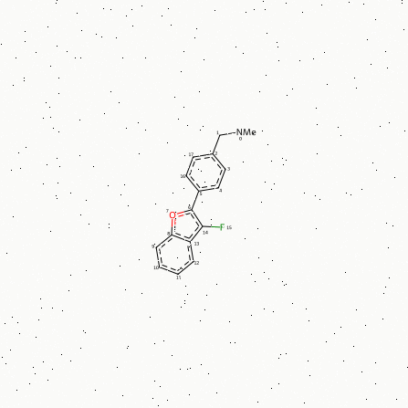 CNCc1ccc(-c2oc3ccccc3c2F)cc1